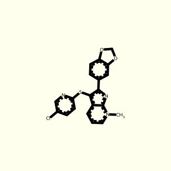 Cn1cccc2c(Sc3ccc(Cl)cn3)c(-c3ccc4c(c3)OCO4)nc1-2